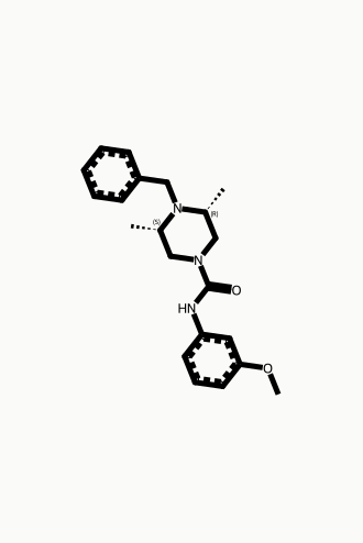 COc1cccc(NC(=O)N2C[C@@H](C)N(Cc3ccccc3)[C@@H](C)C2)c1